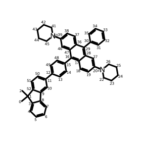 CC1(C)c2ccccc2-c2cc(-c3ccc(-c4c5ccc(N6CCCCC6)cc5c(-c5ccccc5)c5ccc(N6CCCCC6)cc45)cc3)ccc21